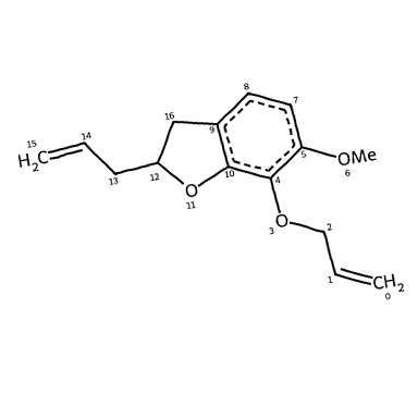 C=CCOc1c(OC)ccc2c1OC(CC=C)C2